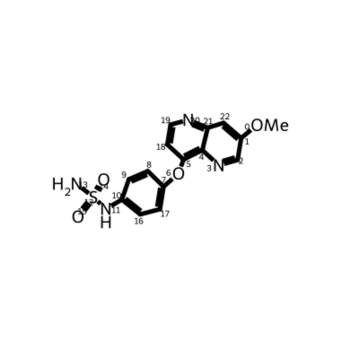 COc1cnc2c(Oc3ccc(NS(N)(=O)=O)cc3)ccnc2c1